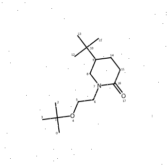 CC(C)(C)OCCN1CC(C(C)(C)C)CCC1=O